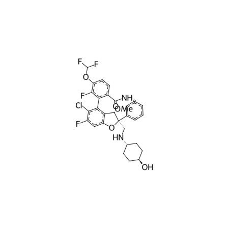 CO[C@H]1c2c(cc(F)c(Cl)c2-c2c(C(N)=O)ccc(OC(F)F)c2F)O[C@]1(CN[C@H]1CC[C@H](O)CC1)c1ccccc1